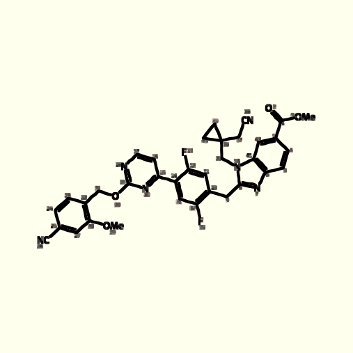 COC(=O)c1ccc2nc(Cc3cc(F)c(-c4ccnc(OCc5ccc(C#N)cc5OC)n4)cc3F)n(CC3(CC#N)CC3)c2c1